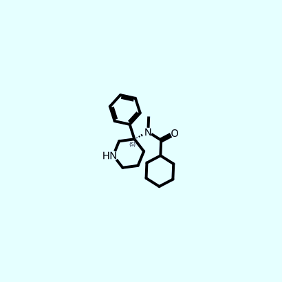 CN(C(=O)C1CCCCC1)[C@]1(c2ccccc2)CCCNC1